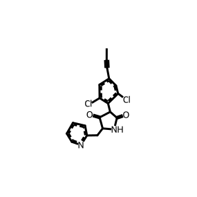 CC#Cc1cc(Cl)c(C2C(=O)NC(Cc3ccccn3)C2=O)c(Cl)c1